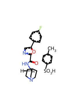 Cc1ccc(S(=O)(=O)O)cc1.O=C(N[C@H]1CN2CCC1CC2)c1ncc(-c2ccc(F)cc2)o1